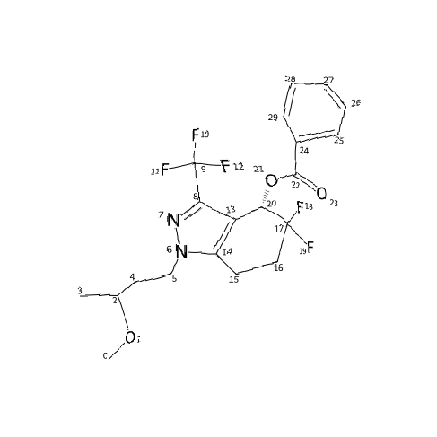 COC(C)CCn1nc(C(F)(F)F)c2c1CCC(F)(F)[C@H]2OC(=O)c1ccccc1